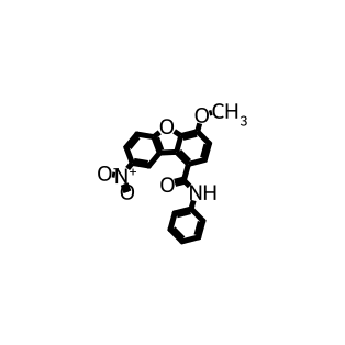 COc1ccc(C(=O)Nc2ccccc2)c2c1oc1ccc([N+](=O)[O-])cc12